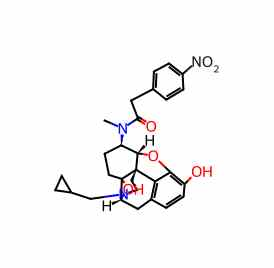 CN(C(=O)Cc1ccc([N+](=O)[O-])cc1)[C@@H]1CC[C@@]2(O)[C@H]3Cc4ccc(O)c5c4[C@@]2(CCN3CC2CC2)[C@H]1O5